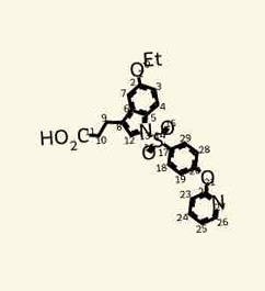 CCOc1ccc2c(c1)c(CCC(=O)O)cn2S(=O)(=O)c1ccc(Oc2ccccn2)cc1